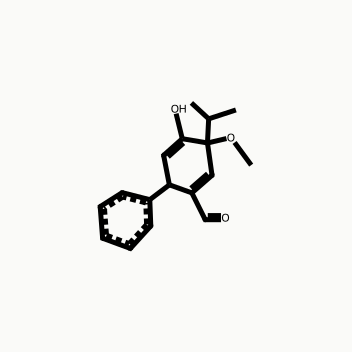 COC1(C(C)C)C=C(C=O)C(c2ccccc2)C=C1O